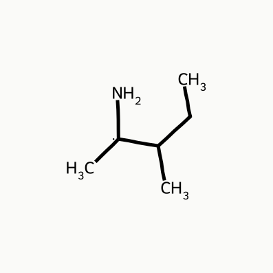 CCC(C)[C](C)N